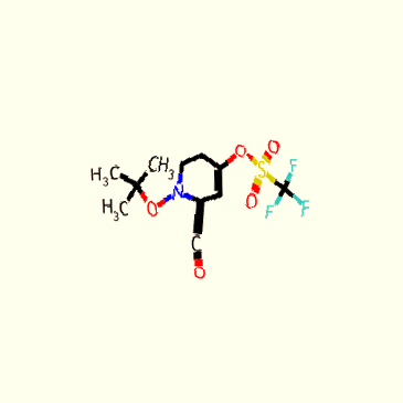 CC(C)(C)ON1CCC(OS(=O)(=O)C(F)(F)F)=CC1=C=O